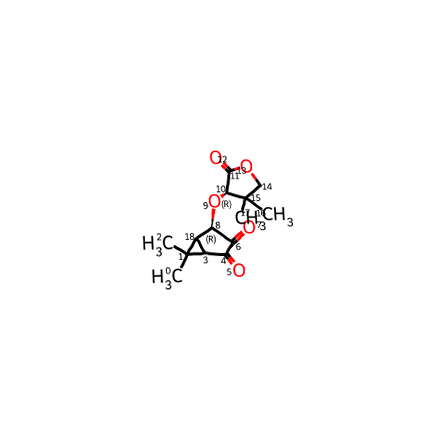 CC1(C)C2C(=O)C(=O)[C@H](O[C@H]3C(=O)OCC3(C)C)C21